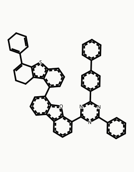 C1=CC(C2=CCCc3c2sc2cccc(-c4cccc5c4oc4c(-c6nc(-c7ccccc7)nc(-c7ccc(-c8ccccc8)cc7)n6)cccc45)c32)=CCC1